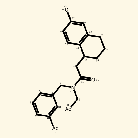 CC(=O)CN(Cc1cccc(C(C)=O)c1)C(=O)CC1CCCc2cc(O)ccc21